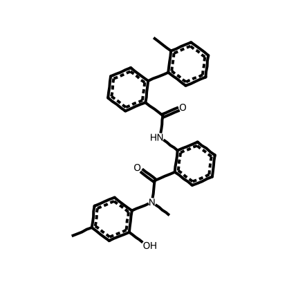 Cc1ccc(N(C)C(=O)c2ccccc2NC(=O)c2ccccc2-c2ccccc2C)c(O)c1